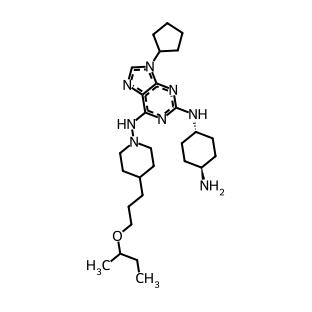 CCC(C)OCCCC1CCN(Nc2nc(N[C@H]3CC[C@H](N)CC3)nc3c2ncn3C2CCCC2)CC1